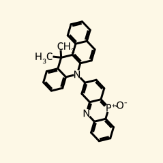 CC1(C)c2ccccc2N(c2ccc3c(c2)nc2ccccc2[p+]3[O-])c2ccc3ccccc3c21